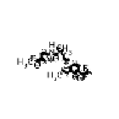 CCCc1c(OCCCN(C)C(=O)Nc2ccc(C(=O)OC)cn2)ccc2c(C(F)(F)F)noc12